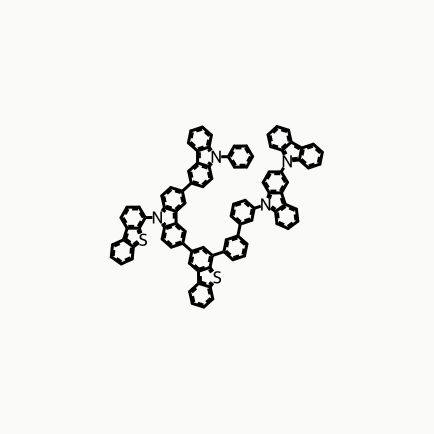 c1ccc(-n2c3ccccc3c3cc(-c4ccc5c(c4)c4cc(-c6cc(-c7cccc(-c8cccc(-n9c%10ccccc%10c%10cc(-n%11c%12ccccc%12c%12ccccc%12%11)ccc%109)c8)c7)c7sc8ccccc8c7c6)ccc4n5-c4cccc5c4sc4ccccc45)ccc32)cc1